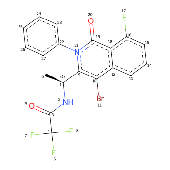 C[C@H](NC(=O)C(F)(F)F)c1c(Br)c2cccc(F)c2c(=O)n1-c1ccccc1